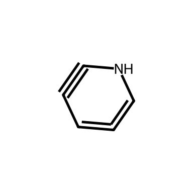 C1=CC#CNC=1